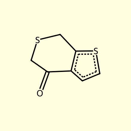 O=C1CSCc2sccc21